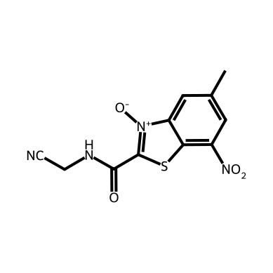 Cc1cc([N+](=O)[O-])c2sc(C(=O)NCC#N)[n+]([O-])c2c1